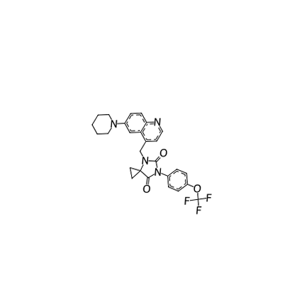 O=C1N(c2ccc(OC(F)(F)F)cc2)C(=O)C2(CC2)N1Cc1ccnc2ccc(N3CCCCC3)cc12